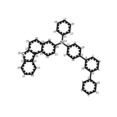 c1ccc(-c2cccc(-c3ccc(N(c4ccccc4)c4ccc5c(ccc6sc7ccccc7c65)c4)cc3)c2)cc1